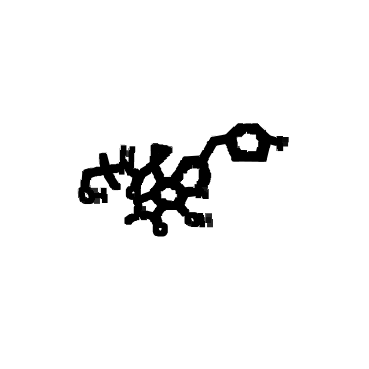 CN1Cc2c(c(O)c3ncc(Cc4ccc(F)cc4)cc3c2C2(C(=O)NC(C)(C)CO)CC2)C1=O